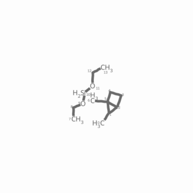 CC1C2CCC12C.CCO[SiH2]OCC